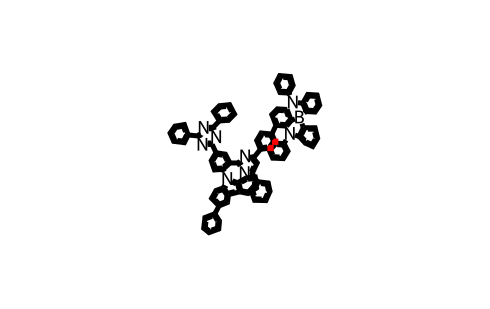 c1ccc(-c2ccc3c(c2)c2ccccc2n3-c2ccc(-c3nc(-c4ccccc4)nc(-c4ccccc4)n3)cc2-c2nc(-c3ccccc3)cc(-c3ccc(-c4ccc5c6c4N(c4ccccc4)c4ccccc4B6c4ccccc4N5c4ccccc4)cc3)n2)cc1